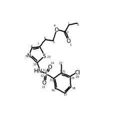 CCC(=O)OCCc1cnc(NS(=O)(=O)c2cccc(Cl)c2C)s1